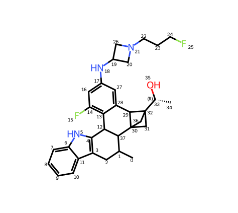 CC1Cc2c([nH]c3ccccc23)C2c3c(F)cc(NC4CN(CCCF)C4)cc3C3C4(CC3([C@@H](C)O)C4)C12